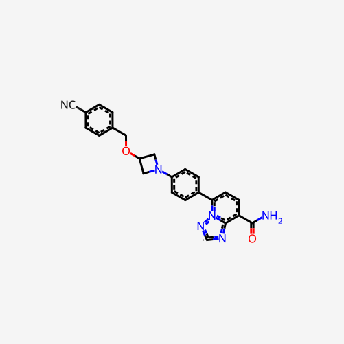 N#Cc1ccc(COC2CN(c3ccc(-c4ccc(C(N)=O)c5n[c]nn45)cc3)C2)cc1